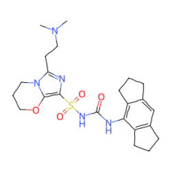 CN(C)CCc1nc(S(=O)(=O)NC(=O)Nc2c3c(cc4c2CCC4)CCC3)c2n1CCCO2